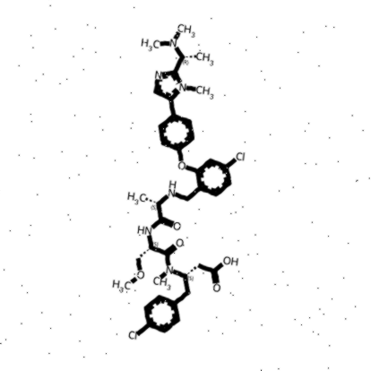 COC[C@H](NC(=O)[C@H](C)NCc1ccc(Cl)cc1Oc1ccc(-c2cnc([C@@H](C)N(C)C)n2C)cc1)C(=O)N(C)[C@H](CC(=O)O)Cc1ccc(Cl)cc1